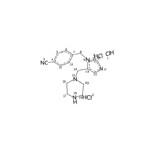 Cl.Cl.Cl.N#Cc1ccc(Cn2cncc2CN2CCNCC2)cc1